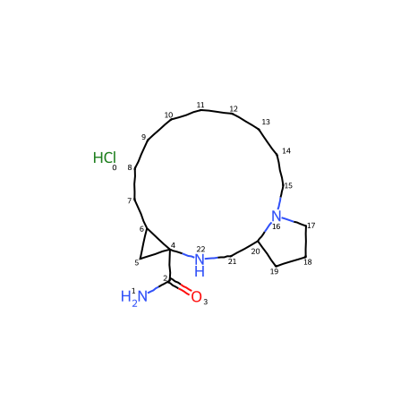 Cl.NC(=O)C12CC1CCCCCCCCCN1CCCC1CN2